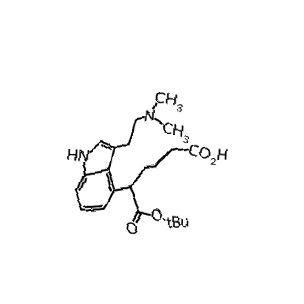 CN(C)CCc1c[nH]c2cccc(C(CCCC(=O)O)C(=O)OC(C)(C)C)c12